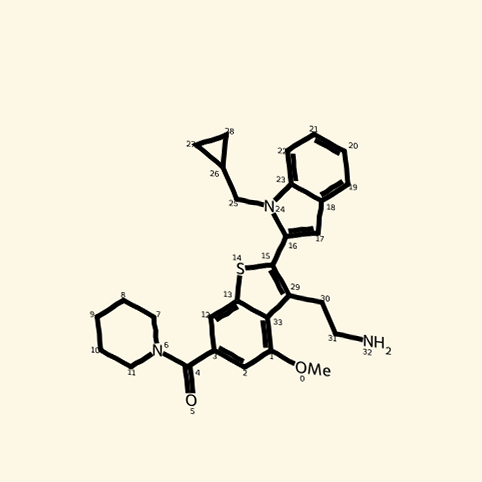 COc1cc(C(=O)N2CCCCC2)cc2sc(-c3cc4ccccc4n3CC3CC3)c(CCN)c12